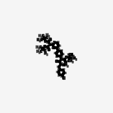 CC(C)(C)OC(=O)N(C(=O)[C@H](N)Cc1ccc(Cl)cc1)c1ccc(-c2ccnc(N(C(=O)OC(C)(C)C)C(=O)OC(C)(C)C)n2)cc1